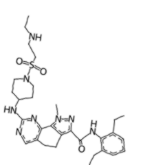 CCNCCS(=O)(=O)N1CCC(Nc2ncc3c(n2)-c2c(c(C(=O)Nc4c(CC)cccc4CC)nn2C)CC3)CC1